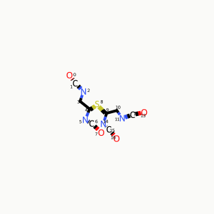 O=C=NCC(N=C=O)=S=C(CN=C=O)N=C=O